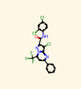 O=C(Nc1ccc(Cl)cc1Cl)c1nn2c(C(F)(F)F)cc(-c3ccccc3)nc2c1Cl